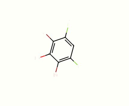 Oc1c(Br)c(F)[c]c(F)c1Br